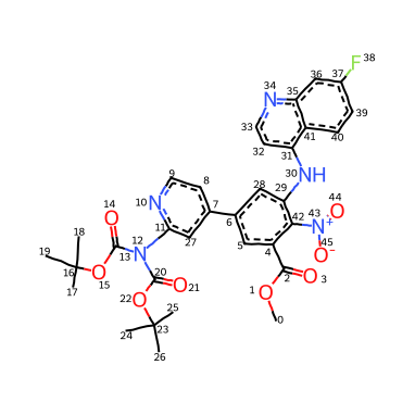 COC(=O)c1cc(-c2ccnc(N(C(=O)OC(C)(C)C)C(=O)OC(C)(C)C)c2)cc(Nc2ccnc3cc(F)ccc23)c1[N+](=O)[O-]